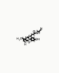 CCc1c[nH]c2c(=O)n(-c3ccc(O)cc3)c(SCCCC(=O)NCCC#N)nc12